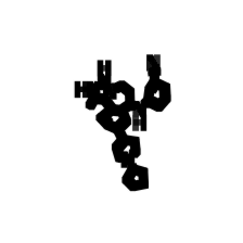 CC1=C2c3ccc(C4=CCN(C5CCCC5)CC4)cc3C(Nc3cccc(C#N)c3)CCN2NN1